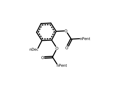 CCCCCCCCCCc1cccc(OC(=O)CCCCC)c1OC(=O)CCCCC